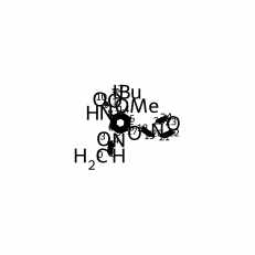 C=CC(=O)Nc1cc(NC(=O)OC(C)(C)C)c(OC)cc1OCCN1CCOCC1